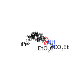 CCOC(=O)N(CCNC(=O)O[C@H]1CC[C@@]2(C)C(=CC[C@H]3[C@@H]4CC[C@H]([C@H](C)CCCC(C)C)[C@@]4(C)CC[C@@H]32)C1)C(=O)OCC